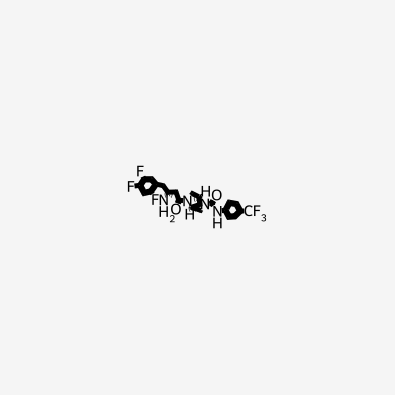 N[C@@H](CC(=O)N1C[C@@H]2C[C@H]1CN2C(=O)Nc1ccc(C(F)(F)F)cc1)Cc1cc(F)c(F)cc1F